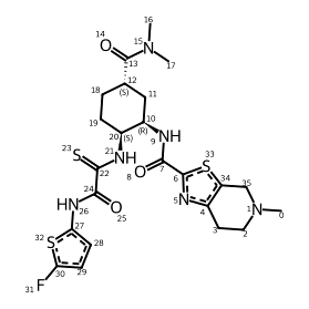 CN1CCc2nc(C(=O)N[C@@H]3C[C@@H](C(=O)N(C)C)CC[C@@H]3NC(=S)C(=O)Nc3ccc(F)s3)sc2C1